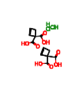 Cl.Cl.O=C(O)C1(C(=O)O)C=CC1.O=C(O)C1(C(=O)O)C=CC1